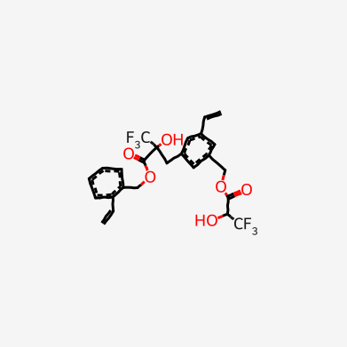 C=Cc1cc(COC(=O)C(O)C(F)(F)F)cc(CC(O)(C(=O)OCc2ccccc2C=C)C(F)(F)F)c1